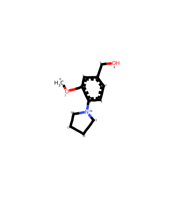 COc1cc(CO)ccc1N1CCCC1